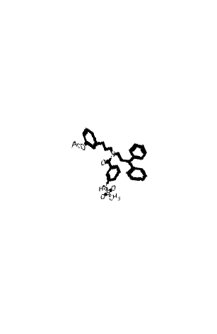 CC(=O)Oc1cccc(CCCN(CCC(c2ccccc2)c2ccccc2)C(=O)c2cccc(NS(C)(=O)=O)c2)c1